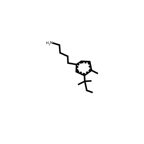 CCC(C)(C)c1cc(CCCCN)ccc1C